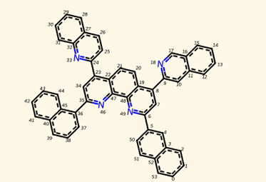 c1ccc2cc(-c3cc(-c4cc5ccccc5cn4)c4ccc5c(-c6ccc7ccccc7n6)cc(-c6cccc7ccccc67)nc5c4n3)ccc2c1